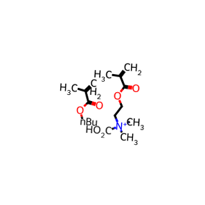 C=C(C)C(=O)OCCCC.C=C(C)C(=O)OCC[N+](C)(C)C(=O)O